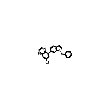 Clc1cc(-c2ccc3ccn(Cc4ccccc4)c3c2)c2nccnc2c1